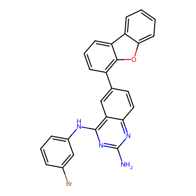 Nc1nc(Nc2cccc(Br)c2)c2cc(-c3cccc4c3oc3ccccc34)ccc2n1